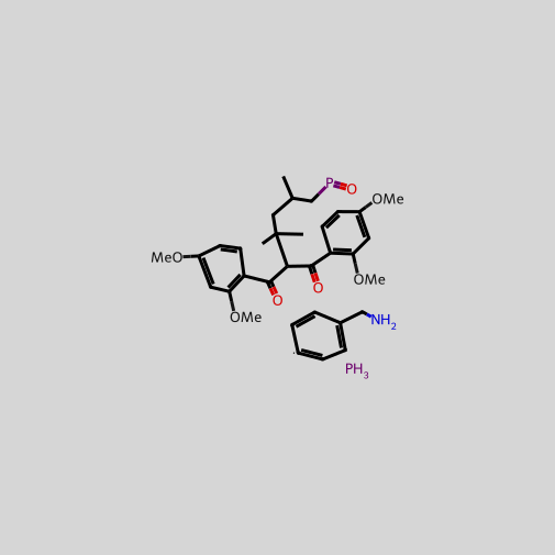 COc1ccc(C(=O)C(C(=O)c2ccc(OC)cc2OC)C(C)(C)CC(C)CP=O)c(OC)c1.NCc1cc[c]cc1.P